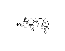 CC1(C)[C@@H](O)CC[C@]2(C)[C@H]3C(=O)C=C4[C@@]56C[C@](C)(CC[C@]5(C)CC[C@@]4(C)[C@]3(C)CC[C@@H]12)C(=O)O6